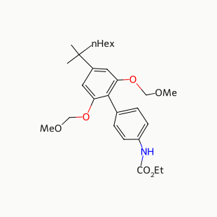 CCCCCCC(C)(C)c1cc(OCOC)c(-c2ccc(NC(=O)OCC)cc2)c(OCOC)c1